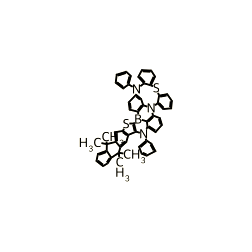 CC1(C)c2ccccc2C(C)(C)c2cc3c4c(sc3cc21)B1c2ccc3cc2N(c2ccccc2Sc2ccccc2N3c2ccccc2)c2cccc(c21)N4c1ccccc1